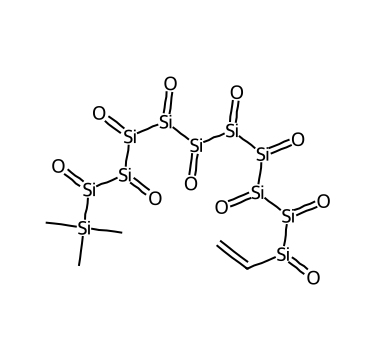 C=C[Si](=O)[Si](=O)[Si](=O)[Si](=O)[Si](=O)[Si](=O)[Si](=O)[Si](=O)[Si](=O)[Si](=O)[Si](C)(C)C